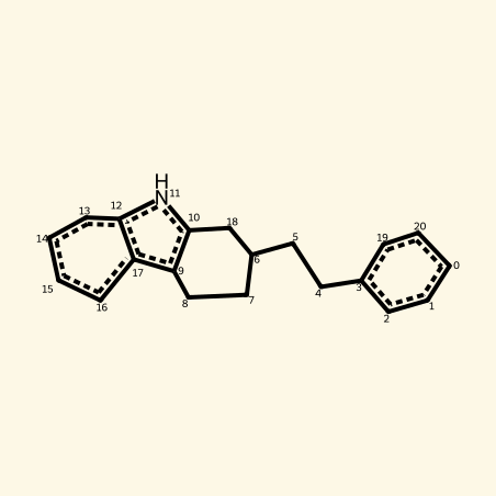 c1ccc(CCC2CCc3c([nH]c4ccccc34)C2)cc1